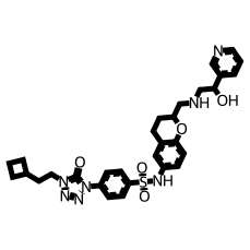 O=c1n(CCC2CCC2)nnn1-c1ccc(S(=O)(=O)Nc2ccc3c(c2)CCC(CNCC(O)c2cccnc2)O3)cc1